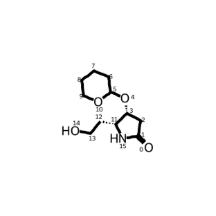 O=C1C[C@@H](OC2CCCCO2)[C@@H](CCO)N1